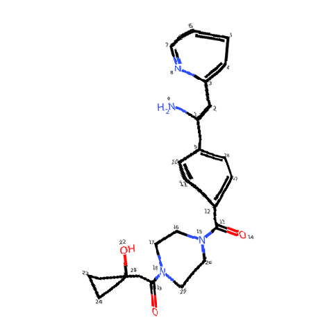 NC(Cc1ccccn1)c1ccc(C(=O)N2CCN(C(=O)C3(O)CC3)CC2)cc1